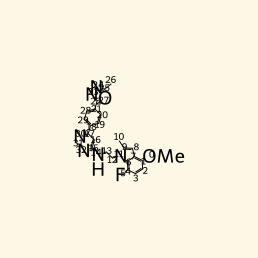 COc1ccc(F)c2c1cc(C)n2CCNc1cc(-c2ccc(-c3nnc(C)o3)cc2)ncn1